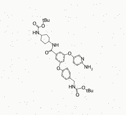 CC(C)(C)OC(=O)NCc1ccc(Oc2cc(Oc3ccc(N)nc3)cc(C(=O)NC3CCC(NC(=O)OC(C)(C)C)CC3)c2)cc1